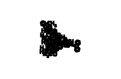 CC[C@H](C)[C@@H]([C@@H](CC(=O)N1CCC[C@H]1[C@H](OC)[C@@H](C)C(=O)N[C@@H](Cc1ccccc1)C(=O)OC)OC)N(C)C(=O)[C@@H](NC(=O)[C@H](C(C)C)N(C)C(=O)OCc1ccc(NC(=O)C(C)NC(=O)OCC2c3ccccc3-c3ccccc32)cc1)C(C)C